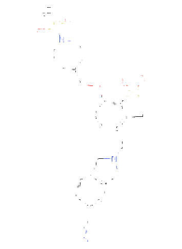 CS(=O)(=O)N1CCC(COc2ccc(CN3Cc4ccc(C#N)cc4C3)c3c2S(=O)(=O)CC3)CC1